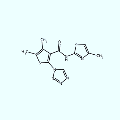 Cc1csc(NC(=O)c2c(-n3cnnn3)sc(C)c2C)n1